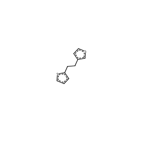 [CH](Cc1cccs1)c1ccsc1